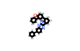 c1ccc(-c2ccc3nc4c5cccc6c7ccc8oc9ccccc9c8c7n(c4nc3c2)c65)cc1